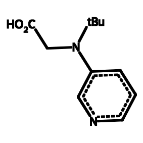 CC(C)(C)N(CC(=O)O)c1cccnc1